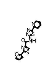 O=C(Nc1nnc(-c2ccccn2)s1)c1csc(-c2ccco2)n1